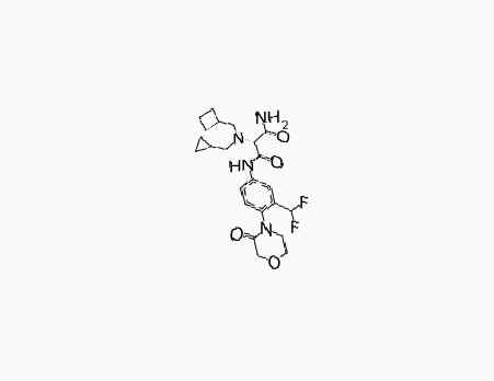 NC(=O)[C@H](C(=O)Nc1ccc(N2CCOCC2=O)c(C(F)F)c1)N(CC1CCC1)CC1CC1